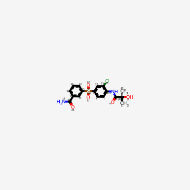 C[C@@](O)(C(=O)Nc1ccc(S(=O)(=O)c2cccc(C(N)=O)c2)cc1Cl)C(F)(F)F